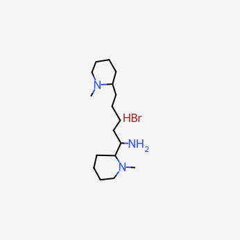 Br.CN1CCCCC1CCCCC(N)C1CCCCN1C